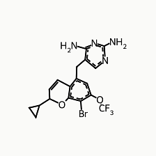 Nc1ncc(Cc2cc(OC(F)(F)F)c(Br)c3c2C=CC(C2CC2)O3)c(N)n1